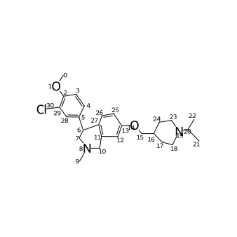 COc1ccc(C2CN(C)Cc3cc(OCC4CCN(C(C)C)CC4)ccc32)cc1Cl